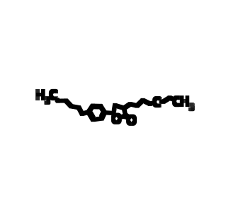 CCCCCCCCC1CC(c2ccc(CCCCCC)cc2)OC1=O